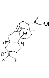 C=C(CO)[C@H]1CC[C@H]2[C@@H]3CC[C@H]4C[C@@](O)(C(F)F)CC[C@@H]4[C@H]3CC[C@]12C